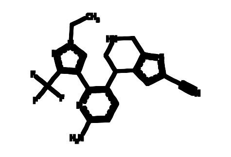 CCn1cc(-c2nc(N)ccc2C2CNCc3sc(C#N)cc32)c(C(F)(F)F)n1